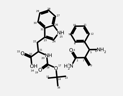 C=C(C(N)=O)C(N)c1ccccc1.CC(C)(C)OC(=O)NC(Cc1c[nH]c2ccccc12)C(=O)O